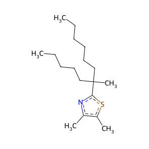 CCCCCCC(C)(CCCCC)c1nc(C)c(C)s1